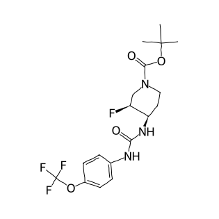 CC(C)(C)OC(=O)N1CC[C@@H](NC(=O)Nc2ccc(OC(F)(F)F)cc2)[C@@H](F)C1